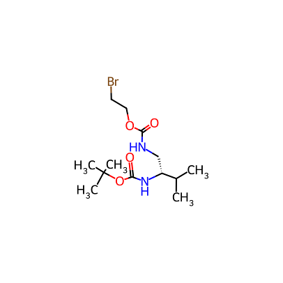 CC(C)[C@@H](CNC(=O)OCCBr)NC(=O)OC(C)(C)C